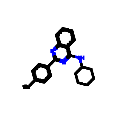 CC(C)(C)c1ccc(-c2nc(NC3CCCCC3)c3ccccc3n2)cc1